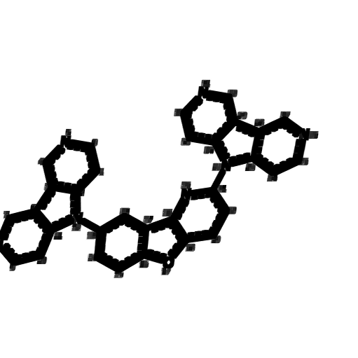 c1cc2c(cn1)c1cnccc1n2-c1ccc2oc3ccc(-n4c5ccncc5c5cnccc54)nc3c2c1